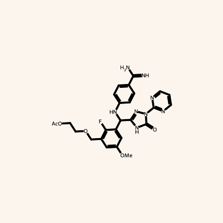 COc1cc(COCCOC(C)=O)c(F)c(C(Nc2ccc(C(=N)N)cc2)c2nn(-c3ncccn3)c(=O)[nH]2)c1